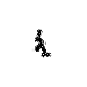 CC1(C)CCC(CN2CCN(c3ccc(C(=O)NS(=O)(=O)c4ccc(OCC5(F)CCN(S(C)(=O)=O)CC5)c([N+](=O)[O-])c4)c(-n4ncc5nc6[nH]ccc6cc54)c3)CC2)=C(c2ccc(Cl)cc2)C1